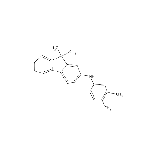 Cc1ccc(Nc2ccc3c(c2)C(C)(C)c2ccccc2-3)cc1C